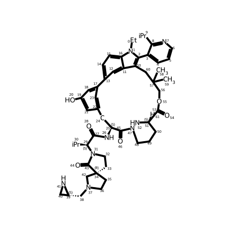 CCn1c(-c2cccnc2C(C)C)c2c3cc(ccc31)-c1cc(O)cc(c1)C[C@H](NC(=O)[C@H](C(C)C)N1CC[C@@]3(CCN(C[C@@H]4CN4)C3)C1=O)C(=O)N1CCC[C@H](N1)C(=O)OCC(C)(C)C2